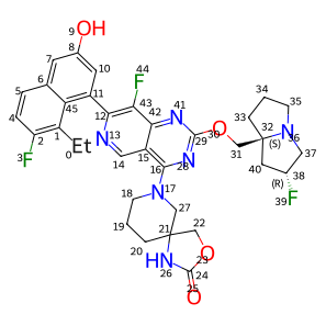 CCc1c(F)ccc2cc(O)cc(-c3ncc4c(N5CCCC6(COC(=O)N6)C5)nc(OC[C@@]56CCCN5C[C@H](F)C6)nc4c3F)c12